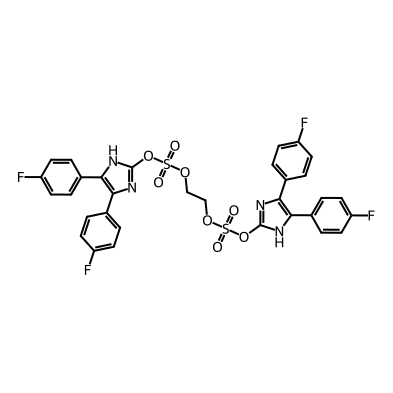 O=S(=O)(OCCOS(=O)(=O)Oc1nc(-c2ccc(F)cc2)c(-c2ccc(F)cc2)[nH]1)Oc1nc(-c2ccc(F)cc2)c(-c2ccc(F)cc2)[nH]1